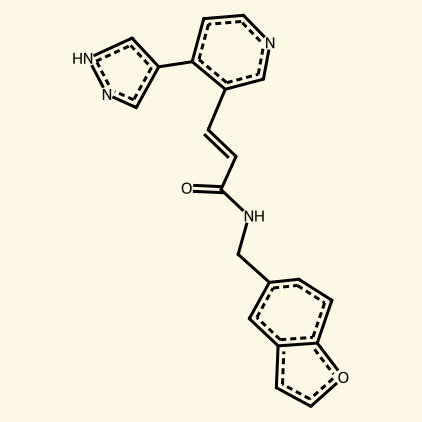 O=C(/C=C/c1cnccc1-c1cn[nH]c1)NCc1ccc2occc2c1